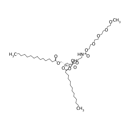 CCCCCCCCCCCCCC(=O)OC[C@H](COP(=O)(O)OCCNC(=O)OCCOCCOCCOCCOC)OC(=O)CCCCCCCCCCCCC